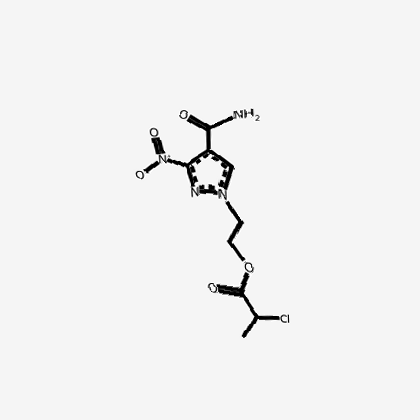 CC(Cl)C(=O)OCCn1cc(C(N)=O)c([N+](=O)[O-])n1